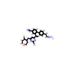 C=C(c1cc(CC2CCOCCC2C)nc(C)n1)c1cc(C#N)ccc1-c1ccc(CCN)cc1